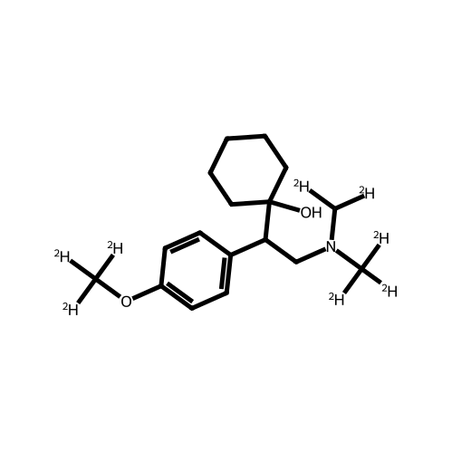 [2H]C([2H])N(CC(c1ccc(OC([2H])([2H])[2H])cc1)C1(O)CCCCC1)C([2H])([2H])[2H]